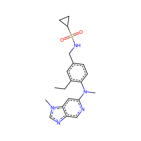 CCc1cc(CNS(=O)(=O)C2CC2)ccc1N(C)c1cc2c(cn1)ncn2C